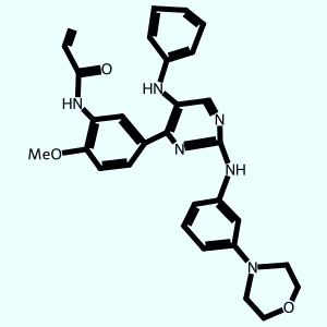 C=CC(=O)Nc1cc(-c2nc(Nc3cccc(N4CCOCC4)c3)ncc2Nc2ccccc2)ccc1OC